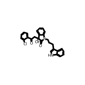 O=C(C[C@]1(O)C(=O)N(CCCc2c[nH]c3ccccc23)c2ccccc21)c1ccccc1Cl